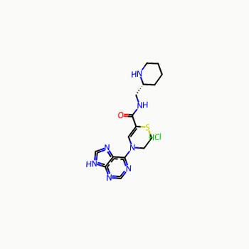 Cl.O=C(NC[C@H]1CCCCN1)C1=CN(c2ncnc3[nH]cnc23)CCS1